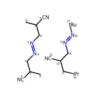 CC(C#N)CN=NCC(C)C#N.CC(C)CC(C#N)CN=NC(C)(C)C